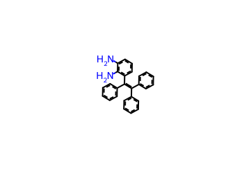 Nc1cccc(C(=C(c2ccccc2)c2ccccc2)c2ccccc2)c1N